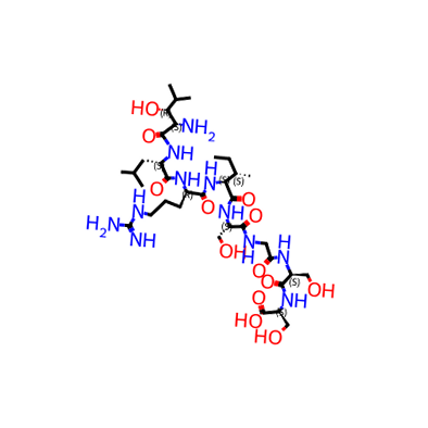 CC[C@H](C)[C@H](NC(=O)[C@@H](CCCNC(=N)N)NC(=O)[C@H](CC(C)C)NC(=O)[C@@H](N)[C@H](O)C(C)C)C(=O)N[C@@H](CO)C(=O)NCC(=O)N[C@@H](CO)C(=O)N[C@@H](CO)C(=O)O